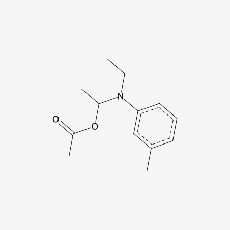 CCN(c1cccc(C)c1)C(C)OC(C)=O